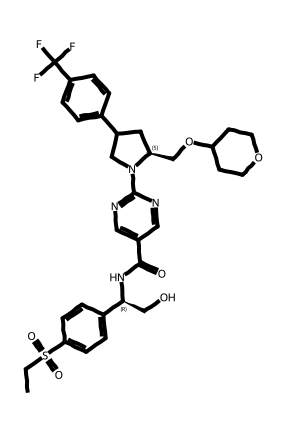 CCS(=O)(=O)c1ccc([C@H](CO)NC(=O)c2cnc(N3CC(c4ccc(C(F)(F)F)cc4)C[C@H]3COC3CCOCC3)nc2)cc1